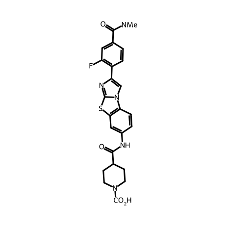 CNC(=O)c1ccc(-c2cn3c(n2)sc2cc(NC(=O)C4CCN(C(=O)O)CC4)ccc23)c(F)c1